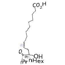 CCCCCC[C@@](O)(C/C=C\CCCCCCCC(=O)O)C(=O)CCC